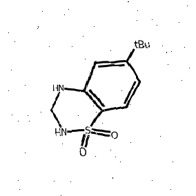 CC(C)(C)c1ccc2c(c1)NCNS2(=O)=O